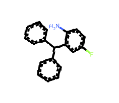 Nc1ccc(F)cc1C(c1ccccc1)c1ccccc1